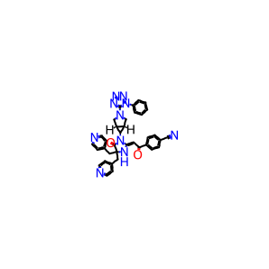 N#Cc1ccc(C(=O)/C=C2\NC(Cc3ccncc3)(Cc3ccncc3)C(=O)N2[C@H]2[C@@H]3CN(c4nnnn4-c4ccccc4)C[C@@H]32)cc1